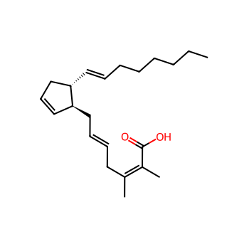 CCCCCCC=C[C@H]1CC=C[C@@H]1CC=CCC(C)=C(C)C(=O)O